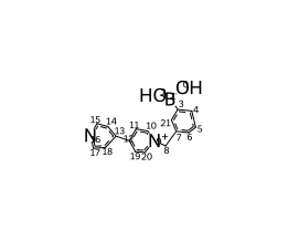 OB(O)c1cccc(C[n+]2ccc(-c3ccncc3)cc2)c1